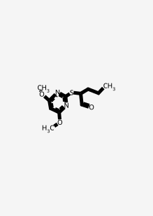 CCCC(C=O)Sc1nc(OC)cc(OC)n1